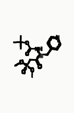 COP(=O)(CC(=O)[C@H](Cc1ccncc1)NC(=O)OC(C)(C)C)OC